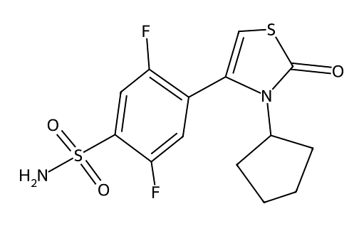 NS(=O)(=O)c1cc(F)c(-c2csc(=O)n2C2CCCC2)cc1F